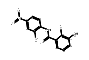 O=C(Nc1ccc([N+](=O)[O-])cc1Br)c1cccc(O)c1Cl